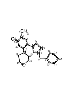 Cn1cc(-c2cnn(Cc3ccccc3)c2)c(N2CCOCC2)cc1=O